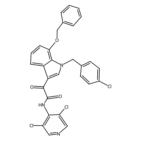 O=C(Nc1c(Cl)cncc1Cl)C(=O)c1cn(Cc2ccc(Cl)cc2)c2c(OCc3ccccc3)cccc12